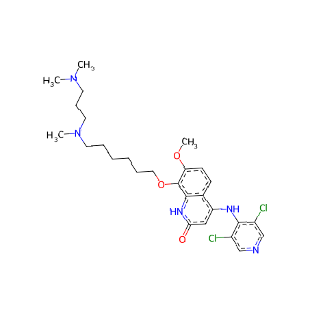 COc1ccc2c(Nc3c(Cl)cncc3Cl)cc(=O)[nH]c2c1OCCCCCCN(C)CCCN(C)C